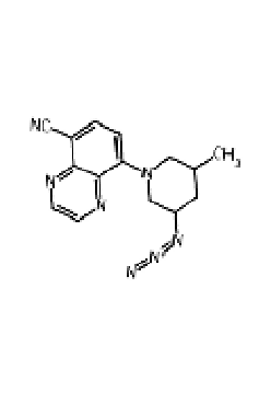 CC1CC(N=[N+]=[N-])CN(c2ccc(C#N)c3nccnc23)C1